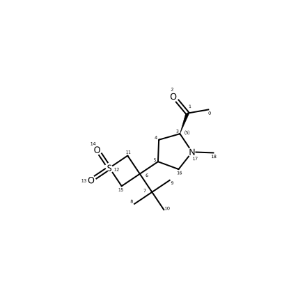 CC(=O)[C@@H]1CC(C2(C(C)(C)C)CS(=O)(=O)C2)CN1C